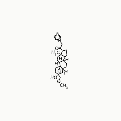 COC[C@@]1(O)CC[C@@]2(C)[C@H](CC[C@@H]3[C@@H]2CC[C@]2(C)[C@@H](C(=O)Cn4ccnc4)CC[C@@H]32)C1